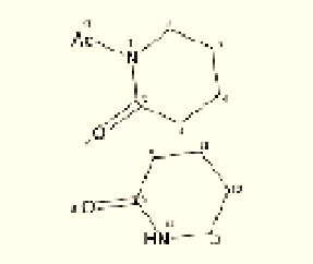 CC(=O)N1CCCCC1=O.O=C1CCCCN1